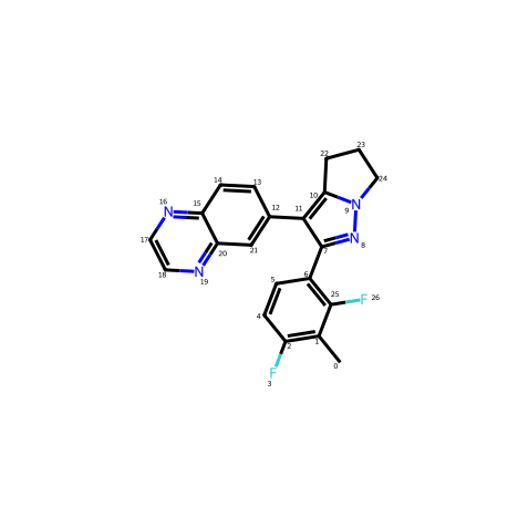 Cc1c(F)ccc(-c2nn3c(c2-c2ccc4nccnc4c2)CCC3)c1F